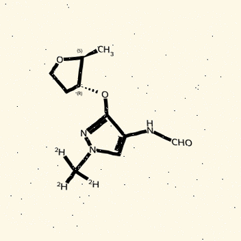 [2H]C([2H])([2H])n1cc(NC=O)c(O[C@@H]2CCO[C@H]2C)n1